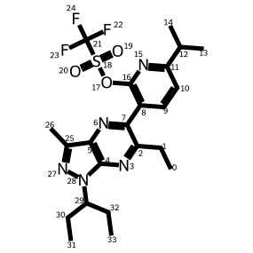 CCc1nc2c(nc1-c1ccc(C(C)C)nc1OS(=O)(=O)C(F)(F)F)c(C)nn2C(CC)CC